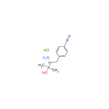 CC(C)(O)[C@H](N)Cc1ccc(C#N)cc1.Cl